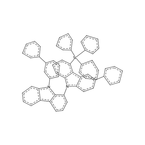 c1ccc(-c2cccc(-n3c4ccccc4c4cccc(-n5c6ccc(-c7ccccc7)cc6c6c([Si](c7ccccc7)(c7ccccc7)c7ccccc7)cccc65)c43)c2)cc1